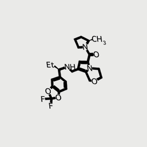 CC[C@@H](NCc1cc(C(=O)N2CCC[C@@H]2C)n2c1COCC2)c1ccc2c(c1)OC(F)(F)O2